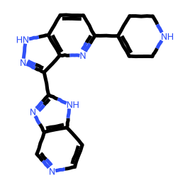 C1=C(c2ccc3[nH]nc(-c4nc5cnccc5[nH]4)c3n2)CCNC1